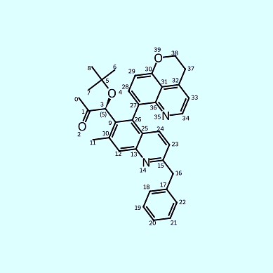 CC(=O)[C@@H](OC(C)(C)C)c1c(C)cc2nc(Cc3ccccc3)ccc2c1-c1ccc2c3c(ccnc13)CCO2